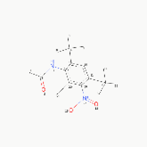 CC(=O)Nc1c(C(C)(C)C)cc(C(C)(C)C)c([N+](=O)[O-])c1C